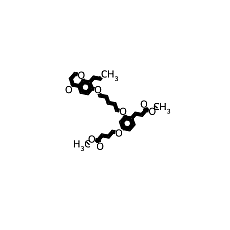 CCCc1c(OCCCCCOc2cc(OCCCC(=O)OC)ccc2CCC(=O)OC)ccc2c1OCCC2=O